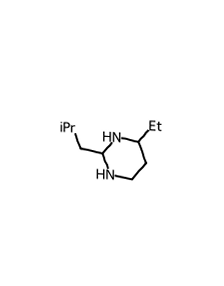 CCC1CCNC(CC(C)C)N1